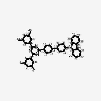 Cc1cc(C)cc(-c2nc(-c3ccc(-c4ccc(-n5c6ccccc6c6ccccc65)cc4)cc3)nc(-c3cc(C)cc(C)c3)n2)c1